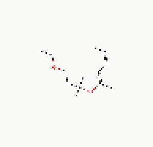 C/C=C\C=C(/C)OC(C)(C)CCOCC